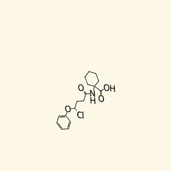 O=C(CCC(Cl)Oc1ccccc1)NC1(C(=O)O)CCCCC1